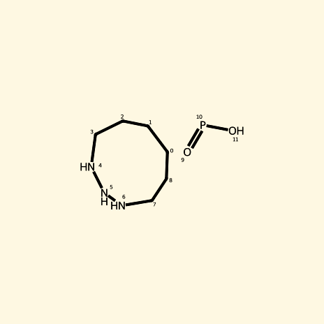 C1CCCNNNCC1.O=PO